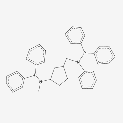 CN(C1CCC(CN(c2ccccc2)P(c2ccccc2)c2ccccc2)C1)P(c1ccccc1)c1ccccc1